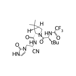 CC(C)(C)[C@H](NC(=O)C(F)(F)F)C(=O)N1C[C@H]2[C@H]([C@H]1C(=O)N[C@H](C#N)Cn1cc[nH]c1=O)C2(C)C